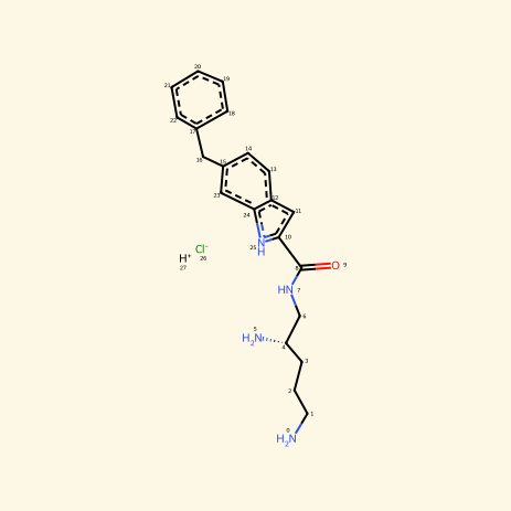 NCCC[C@H](N)CNC(=O)c1cc2ccc(Cc3ccccc3)cc2[nH]1.[Cl-].[H+]